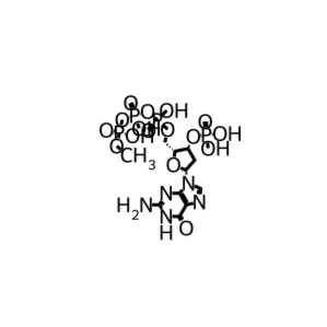 COP(=O)(O)OP(=O)(O)OP(=O)(O)OC[C@H]1O[C@@H](n2cnc3c(=O)[nH]c(N)nc32)C[C@H]1OP(=O)(O)O